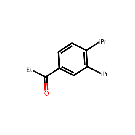 CCC(=O)c1ccc(C(C)C)c(C(C)C)c1